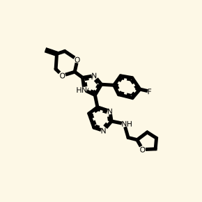 C=C1COC(c2nc(-c3ccc(F)cc3)c(-c3ccnc(NCC4CCCO4)n3)[nH]2)OC1